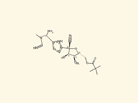 CN(C=N)C(N)c1ccc([C@]2(C#N)O[C@H](COC(=O)C(C)(C)C)[C@@H](O)[C@H]2O)[nH]1